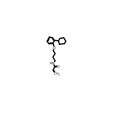 C=CC(=O)NCCCCOc1ccccc1C1CCCCC1